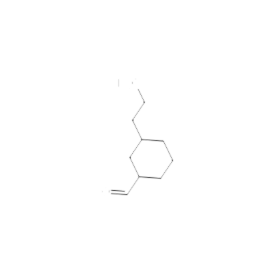 CCCC1CCCC(C=O)C1